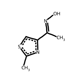 CC(=NO)c1csc(C)n1